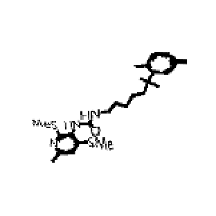 CSc1cc(C)nc(SC)c1NC(=O)NCCCCCC(C)(C)c1cc(C)ccc1C